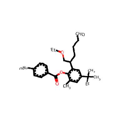 CCCCc1ccc(C(=O)Oc2c(C)cc(C(C)(C)CC)cc2C(CCCC=O)COCC)cc1